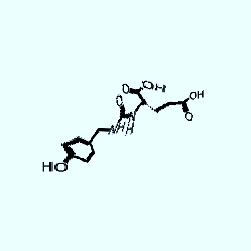 O=C(O)CC[C@H](NC(=O)NCc1ccc(O)cc1)C(=O)O